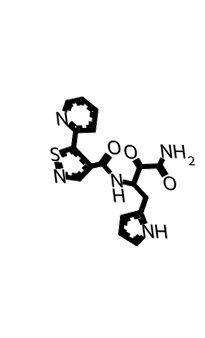 NC(=O)C(=O)C(Cc1ccc[nH]1)NC(=O)c1cnsc1-c1ccccn1